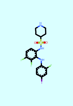 O=S(=O)(Nc1ccc(F)c(F)c1Nc1ccc(I)cc1F)C1CCNCC1